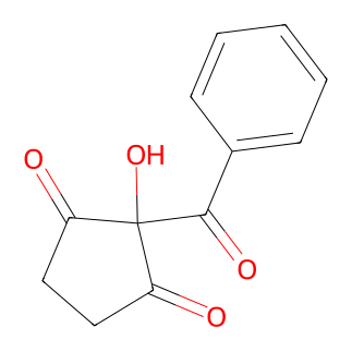 O=C1CCC(=O)C1(O)C(=O)c1ccccc1